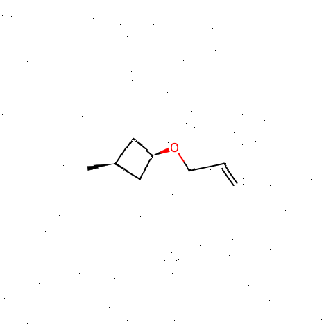 C=CCO[C@H]1C[C@@H](C)C1